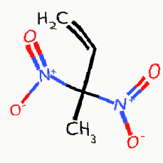 C=CC(C)([N+](=O)[O-])[N+](=O)[O-]